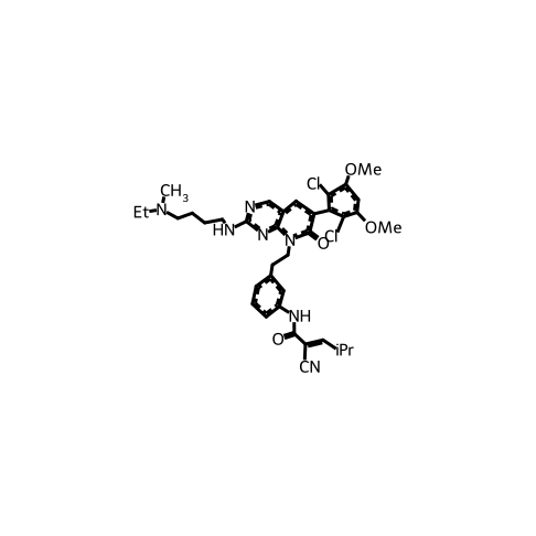 CCN(C)CCCCNc1ncc2cc(-c3c(Cl)c(OC)cc(OC)c3Cl)c(=O)n(CCc3cccc(NC(=O)C(C#N)=CC(C)C)c3)c2n1